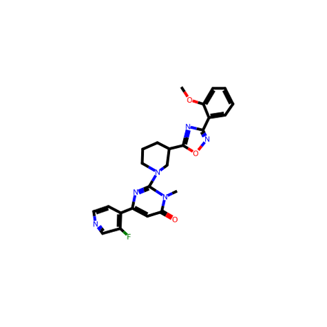 COc1ccccc1-c1noc(C2CCCN(c3nc(-c4ccncc4F)cc(=O)n3C)C2)n1